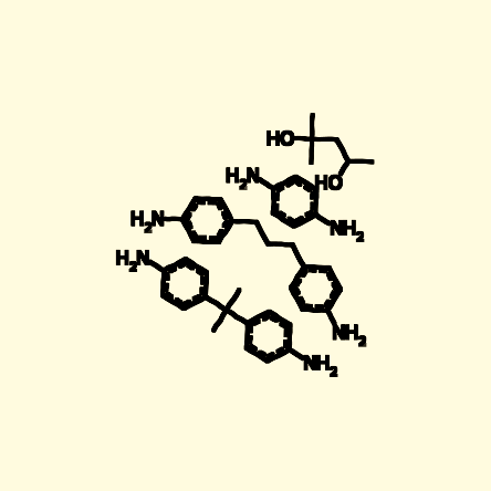 CC(C)(c1ccc(N)cc1)c1ccc(N)cc1.CC(O)CC(C)(C)O.Nc1ccc(CCCc2ccc(N)cc2)cc1.Nc1ccc(N)cc1